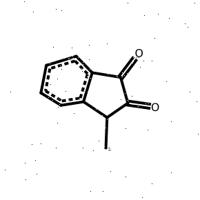 [CH]C1C(=O)C(=O)c2ccccc21